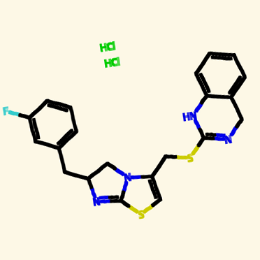 Cl.Cl.Fc1cccc(CC2CN3C(CSC4=NCc5ccccc5N4)=CSC3=N2)c1